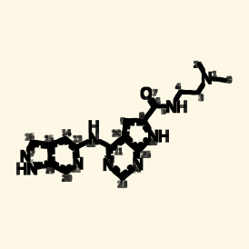 CN(C)CCNC(=O)c1cc2c(Nc3cc4cn[nH]c4cn3)ncnc2[nH]1